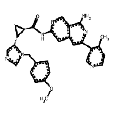 COc1ccc(Cn2cncc2[C@@H]2C[C@H]2C(=O)Nc2cc3cc(-c4cnccc4C)nc(N)c3cn2)cc1